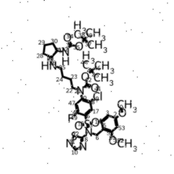 COc1ccc(CN(c2ncns2)S(=O)(=O)c2cc(Cl)c(N(CCCCN[C@@H]3CCC[C@H]3NC(=O)OC(C)(C)C)C(=O)OC(C)(C)C)cc2F)c(OC)c1